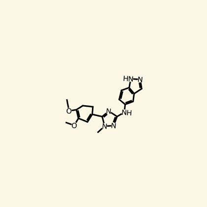 COC1=C(OC)CCC(c2nc(Nc3ccc4[nH]ncc4c3)nn2C)=C1